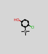 C[Si](C)(C)c1cc(O)ccc1Cl